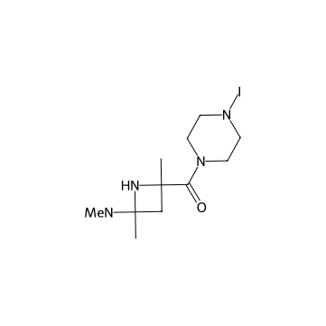 CNC1(C)CC(C)(C(=O)N2CCN(I)CC2)N1